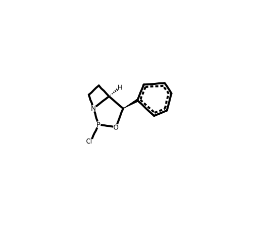 ClP1O[C@H](c2ccccc2)[C@@H]2CCN21